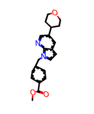 COC(=O)c1ccc(Cn2ccc3cc(C4CCOCC4)cnc32)cc1